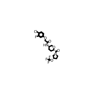 O=C(COc1ccc(Cl)c(F)c1)N[C@@H]1CC[C@@H](C(=O)N2CC[C@H](OC(F)(F)F)C2)OC1